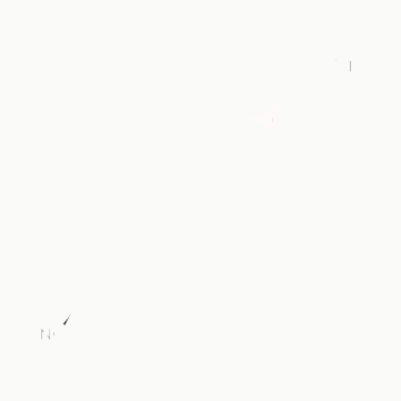 C=CCOCC1CCC(CC[C@H]2CC[C@H](C#N)CC2)CC1